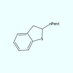 [CH2]CCCCC1Cc2ccccc2S1